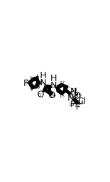 O=c1c(Nc2ccc(F)cc2)c(Nc2ccc(-c3noc(C(F)(F)Cl)n3)cc2)c1=O